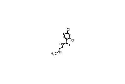 CNCCNC(=O)c1cnc(Cl)cc1Cl